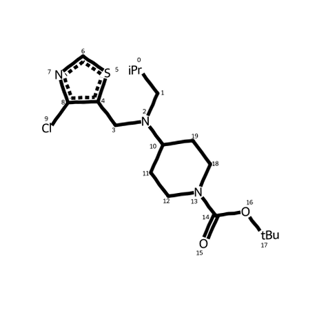 CC(C)CN(Cc1scnc1Cl)C1CCN(C(=O)OC(C)(C)C)CC1